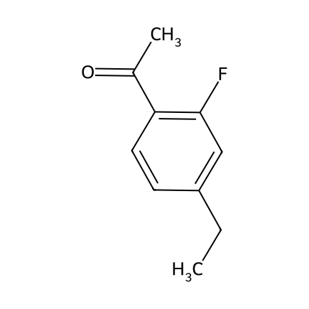 CCc1ccc(C(C)=O)c(F)c1